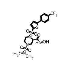 CN(C)S(=O)(=O)N1CCN(S(=O)(=O)c2ccc(-c3ccc(C(F)(F)F)cc3)s2)[C@@H](C(=O)NO)C1